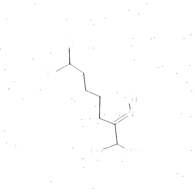 CCCCCC(O)C(CCCCC(CC)CC)=NO